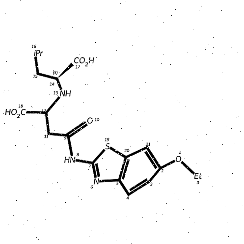 CCOc1ccc2nc(NC(=O)CC(N[C@@H](CC(C)C)C(=O)O)C(=O)O)sc2c1